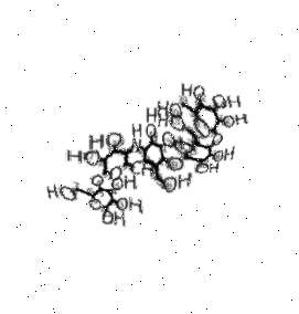 CC1OC(OC2C(CO)OC(O)C(O)C2O)C(O)C(O)C1NC1C=C(CO)C(OC2OC(CO)C(OC3OC(CO)C(O)C(O)C3O)C(O)C2O)C(O)C1O